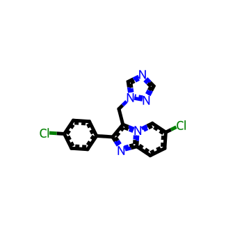 Clc1ccc(-c2nc3ccc(Cl)cn3c2Cn2cncn2)cc1